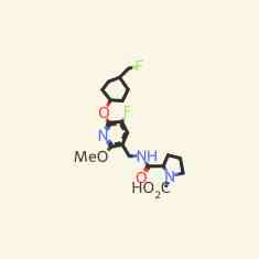 COc1nc(OC2CCC(CF)CC2)c(F)cc1CNC(=O)C1CCCN1C(=O)O